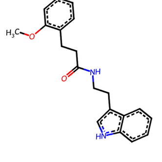 COc1ccccc1CCC(=O)NCCc1c[nH]c2ccccc12